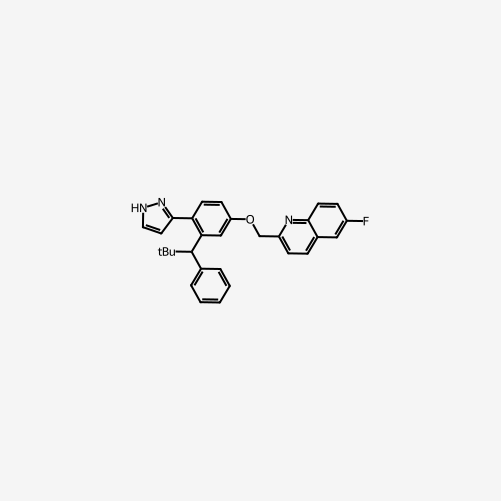 CC(C)(C)C(c1ccccc1)c1cc(OCc2ccc3cc(F)ccc3n2)ccc1-c1cc[nH]n1